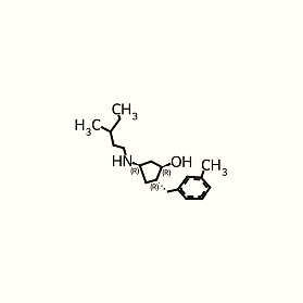 CCC(C)CCN[C@@H]1C[C@@H](Cc2cccc(C)c2)[C@H](O)C1